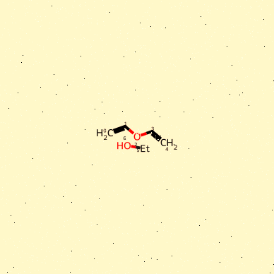 C=COC=C.CCO